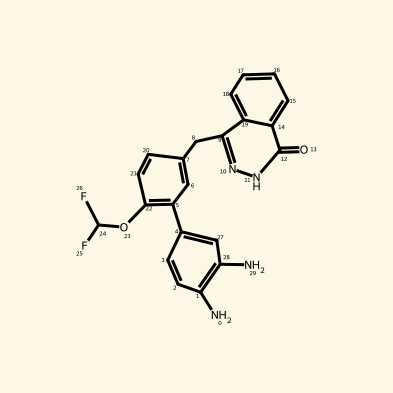 Nc1ccc(-c2cc(Cc3n[nH]c(=O)c4ccccc34)ccc2OC(F)F)cc1N